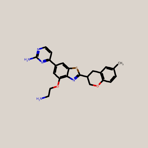 Cc1ccc2c(c1)CC(c1nc3c(OCCN)cc(-c4ccnc(N)n4)cc3s1)CO2